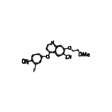 COCCOc1cc2nccc(Oc3ccc(N=O)c(F)c3)c2cc1C#N